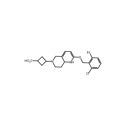 CCc1cccc(Cl)c1COC1=CC=C2CN(C3CC(C(=O)O)C3)CCC2N1